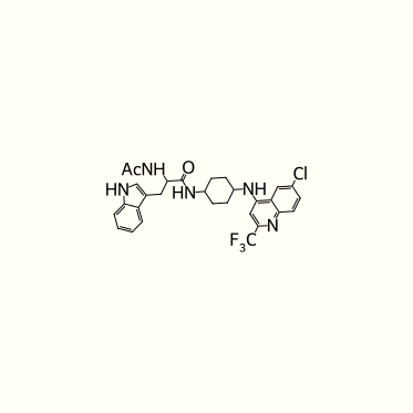 CC(=O)NC(Cc1c[nH]c2ccccc12)C(=O)NC1CCC(Nc2cc(C(F)(F)F)nc3ccc(Cl)cc23)CC1